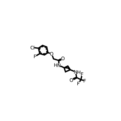 O=C(COc1ccc(Cl)c(F)c1)NC12CC(NC(=O)C(F)(F)F)(C1)C2